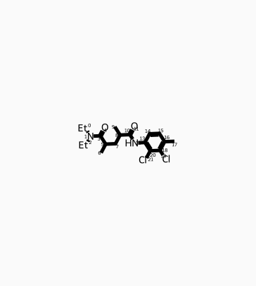 CCN(CC)C(=O)C(C)CC(C)C(=O)Nc1ccc(C)c(Cl)c1Cl